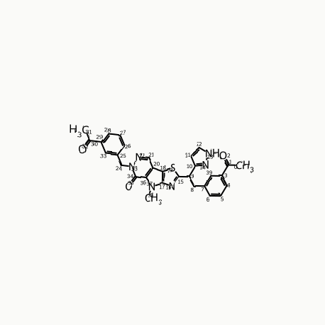 CC(=O)c1cccc(CC(c2cc[nH]n2)c2nc3c(s2)c2cnn(Cc4cccc(C(C)=O)c4)c(=O)c2n3C)c1